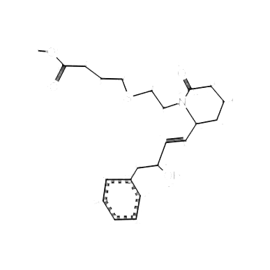 COC(=O)CCCSCCN1C(=O)CCCC1C=CC(O)Cc1ccccc1